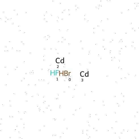 Br.F.[Cd].[Cd]